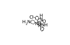 NC1CCC(Nc2c(-c3nc4ccccc4[nH]3)c(=O)[nH]c3ccc(Cl)cc23)CC1